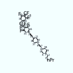 CCC/C=C/c1ccc(C#Cc2ccc(C#Cc3cc(F)c(C(F)(F)Oc4cc(F)c(C(F)(F)F)c(F)c4)c(F)c3)cc2)cc1